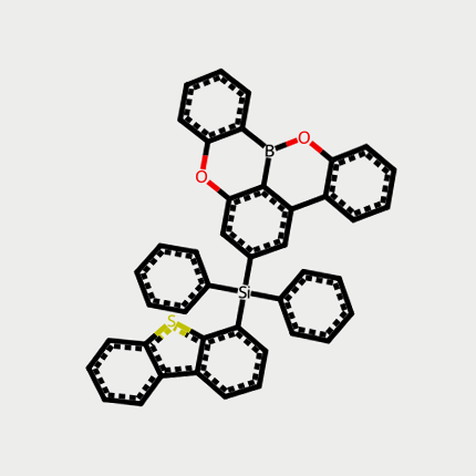 c1ccc([Si](c2ccccc2)(c2cc3c4c(c2)-c2ccccc2OB4c2ccccc2O3)c2cccc3c2sc2ccccc23)cc1